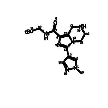 Cn1cc(-c2nc(C(=O)NCC(C)(C)C)c3n2CCNC3)cn1